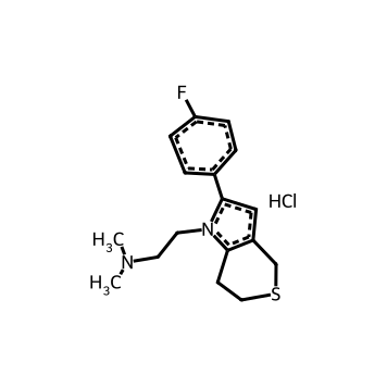 CN(C)CCn1c(-c2ccc(F)cc2)cc2c1CCSC2.Cl